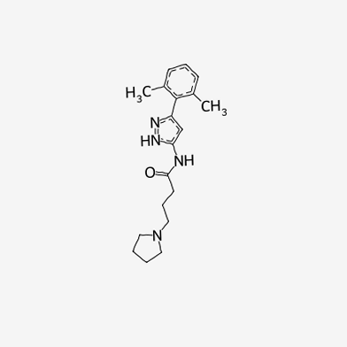 Cc1cccc(C)c1-c1cc(NC(=O)CCCN2CCCC2)[nH]n1